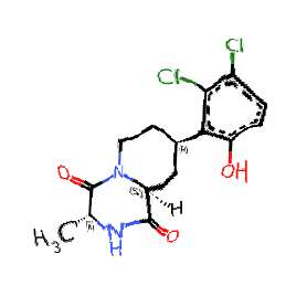 C[C@H]1NC(=O)[C@@H]2C[C@H](c3c(O)ccc(Cl)c3Cl)CCN2C1=O